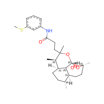 CSc1cccc(NC(=O)CCC2(C)O[C@@H]3O[C@]4(C)CC[C@H]5[C@H](C)CC[C@@H]([C@H]2C)[C@@]35OO4)c1